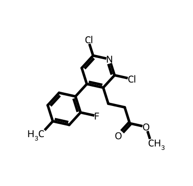 COC(=O)CCc1c(-c2ccc(C)cc2F)cc(Cl)nc1Cl